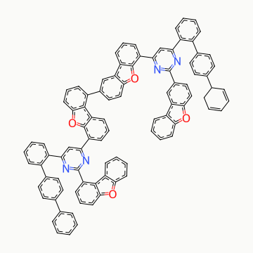 C1=CCC(c2ccc(-c3ccccc3-c3cc(-c4cccc5c4oc4ccc(-c6cccc7oc8c(-c9cc(-c%10ccccc%10-c%10ccc(-c%11ccccc%11)cc%10)nc(-c%10cccc%11oc%12ccccc%12c%10%11)n9)cccc8c67)cc45)nc(-c4ccc5oc6ccccc6c5c4)n3)cc2)C=C1